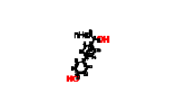 CCCCCCC(O)C12CCC(c3ccc(O)cc3)(CC1)CC2